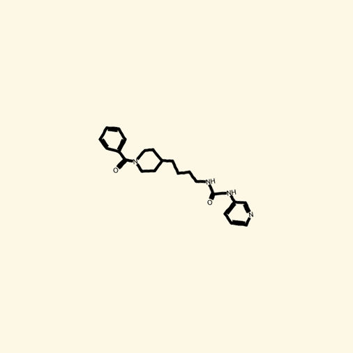 O=C(NCCCCC1CCN(C(=O)c2ccccc2)CC1)Nc1cccnc1